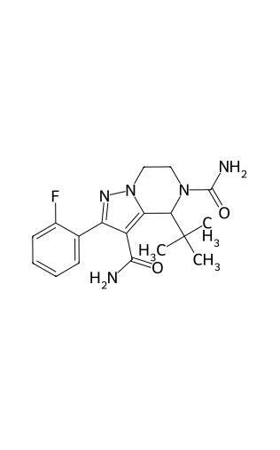 CC(C)(C)C1c2c(C(N)=O)c(-c3ccccc3F)nn2CCN1C(N)=O